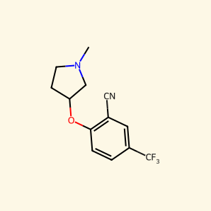 CN1CCC(Oc2ccc(C(F)(F)F)cc2C#N)C1